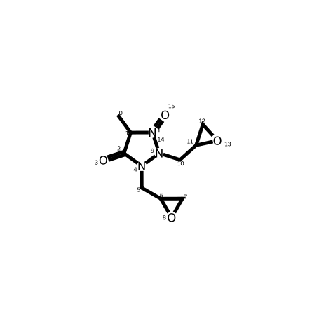 CC1C(=O)N(CC2CO2)N(CC2CO2)[N+]1=O